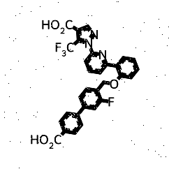 O=C(O)c1ccc(-c2ccc(COc3ccccc3-c3cccc(-n4ncc(C(=O)O)c4C(F)(F)F)n3)c(F)c2)cc1